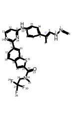 C=NN/C=C(\C)c1ccc(Nc2ccnc(-c3ccc4cc(C(=O)N(C)CC(F)(F)F)sc4c3)n2)cc1